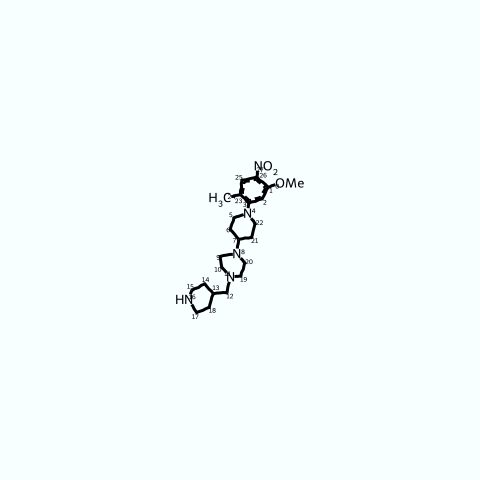 COc1cc(N2CCC(N3CCN(CC4CCNCC4)CC3)CC2)c(C)cc1[N+](=O)[O-]